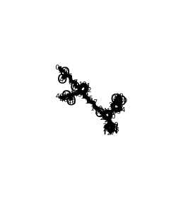 CCOC(=O)CCCOc1cccc(CCCCCCOc2cc(-c3cncnc3)cc(-c3ccc4c(c3)OCO4)c2)c1CCC(=O)OCC